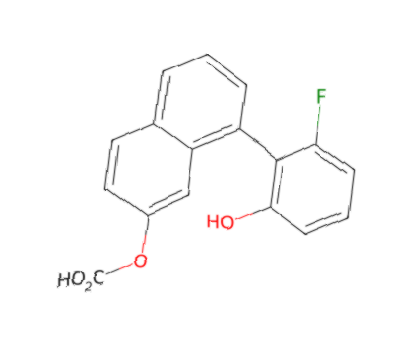 O=C(O)Oc1ccc2cccc(-c3c(O)cccc3F)c2c1